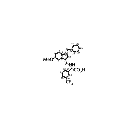 COc1ccc2c(c1)c(CNC(C(=O)O)c1cccc(C(F)(F)F)c1)cn2Cc1ccccc1